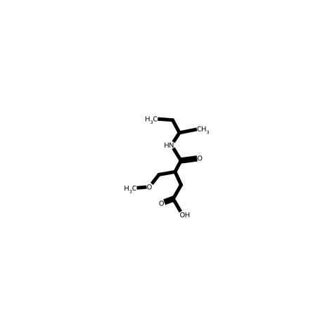 CCC(C)NC(=O)C(COC)CC(=O)O